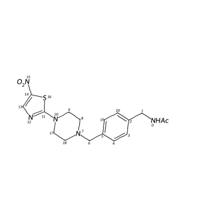 CC(=O)NCc1ccc(CN2CCN(c3ncc([N+](=O)[O-])s3)CC2)cc1